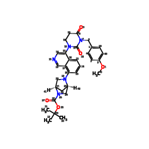 COc1ccc(CN2C(=O)CCN(c3cncc4c(N5C[C@H]6C[C@@H]5CN6C(=O)OC(C)(C)C)cccc34)C2=O)cc1